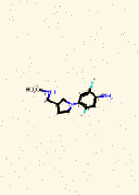 Nc1cc(F)c(N2CCC(CNC(=O)O)C2)cc1F